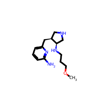 COCCCN[C@@H]1CNC[C@@H]1Cc1cccc(N)n1